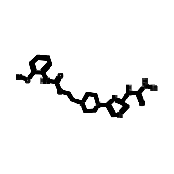 CCNC(=O)Nc1cncc(N2CCN(CCOC(=O)Nc3ccccc3OCC)CC2)n1